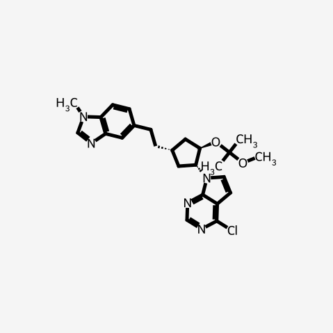 COC(C)(C)O[C@@H]1C[C@@H](CCc2ccc3c(c2)ncn3C)C[C@H]1n1ccc2c(Cl)ncnc21